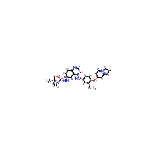 Cc1cc(Nc2ncnc3ccc(NC4=NC(C)(C)CO4)cc23)ccc1Oc1ccn2ccnc2c1